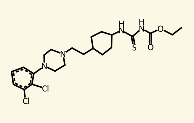 CCOC(=O)NC(=S)NC1CCC(CCN2CCN(c3cccc(Cl)c3Cl)CC2)CC1